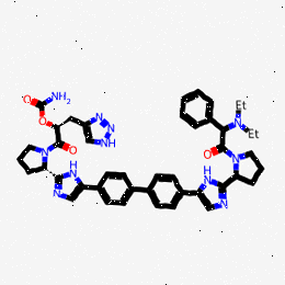 CCN(CC)C(C(=O)N1CCCC1c1ncc(-c2ccc(-c3ccc(-c4cnc([C@@H]5CCCN5C(=O)[C@H](Cc5c[nH]nn5)OC(N)=O)[nH]4)cc3)cc2)[nH]1)c1ccccc1